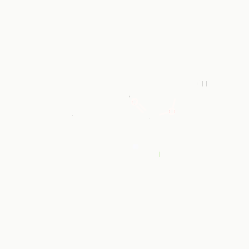 CCOC(=O)/C(F)=C\Cc1ccccc1